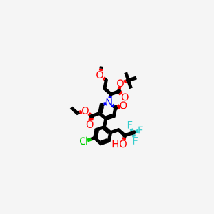 CCOC(=O)c1cn(C(CCOC)C(=O)OC(C)(C)C)c(=O)cc1-c1cc(Cl)ccc1CC(O)C(F)(F)F